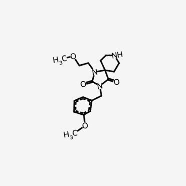 COCCN1C(=O)N(Cc2cccc(OC)c2)C(=O)C12CCNCC2